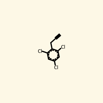 C#CCc1c(Cl)cc(Cl)cc1Cl